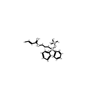 CC=CC(=O)OCCC[Si](O[Si](C)(C)C)(c1ccccc1)c1ccccc1